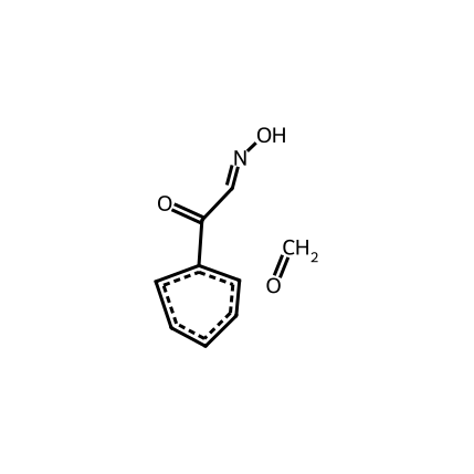 C=O.O=C(C=NO)c1ccccc1